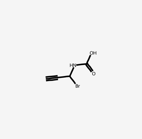 C#CC(Br)NC(=O)O